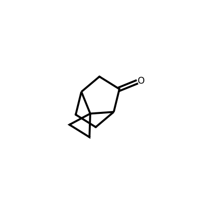 O=C1CC2CCC1C21CC1